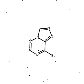 CCc1ncnn2cnnc12